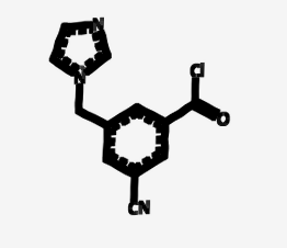 N#Cc1cc(Cn2ccnc2)cc(C(=O)Cl)c1